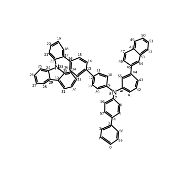 c1ccc(-c2ccc(N(c3ccc(-c4ccc(-c5ccccc5-n5c6ccccc6c6ccccc65)cc4)cc3)c3cccc(-c4ccc5ccccc5c4)c3)cc2)cc1